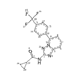 O=C(Nc1nc2cccc(-c3ccc(C(F)(F)F)cc3)n2n1)C1CC1